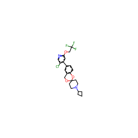 FC(F)(F)COc1cc(-c2ccc3c(c2)COC2(CCN(C4CCC4)CC2)O3)c(Cl)cn1